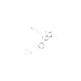 C[Si](C)(C)CCOCn1c(-c2ccc(OCCN3CCCC3)cc2)cc2c(Cl)ncnc21